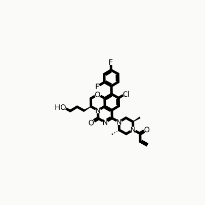 C=CC(=O)N1C[C@H](C)N(c2nc(=O)n3c4c(c(-c5ccc(F)cc5F)c(Cl)cc24)OC[C@@H]3CCCO)C[C@H]1C